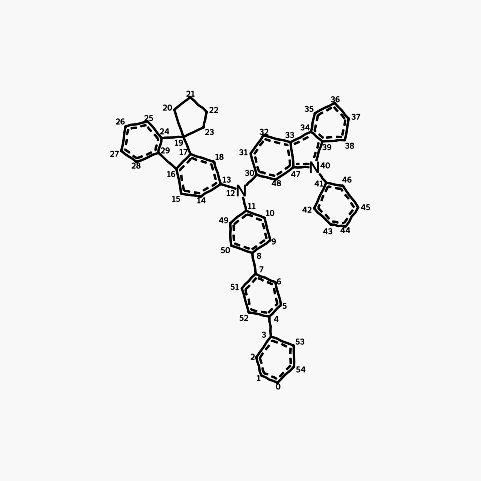 c1ccc(-c2ccc(-c3ccc(N(c4ccc5c(c4)C4(CCCC4)c4ccccc4-5)c4ccc5c6ccccc6n(-c6ccccc6)c5c4)cc3)cc2)cc1